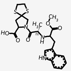 COC(=O)C(Cc1c[nH]c2ccccc12)N[C@@H](C)C(=O)N1CC2(CC1C(=O)O)SCCS2